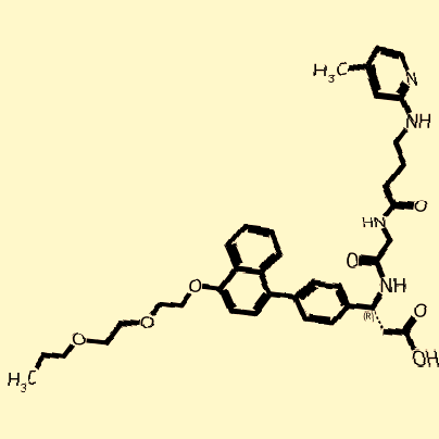 CCCOCCOCCOc1ccc(-c2ccc([C@@H](CC(=O)O)NC(=O)CNC(=O)CCCNc3cc(C)ccn3)cc2)c2ccccc12